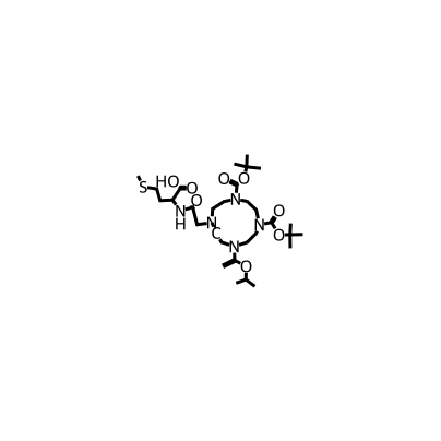 C=C(OC(C)C)N1CCN(CC(=O)NC(CCSC)C(=O)O)CCN(C(=O)OC(C)(C)C)CCN(C(=O)OC(C)(C)C)CC1